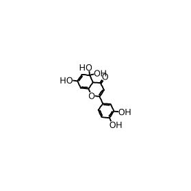 O=C1C=C(c2ccc(O)c(O)c2)OC2=CC(O)=CC(O)(O)C12